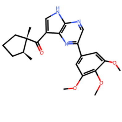 COc1cc(-c2cnc3[nH]cc(C(=O)[C@@]4(C)CCC[C@@H]4C)c3n2)cc(OC)c1OC